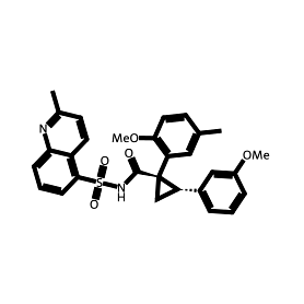 COc1cccc([C@@H]2C[C@]2(C(=O)NS(=O)(=O)c2cccc3nc(C)ccc23)c2cc(C)ccc2OC)c1